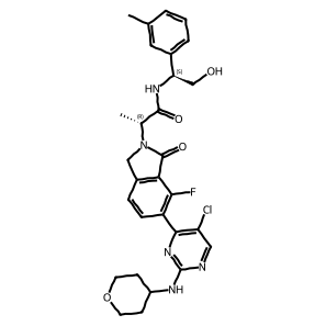 Cc1cccc([C@@H](CO)NC(=O)[C@@H](C)N2Cc3ccc(-c4nc(NC5CCOCC5)ncc4Cl)c(F)c3C2=O)c1